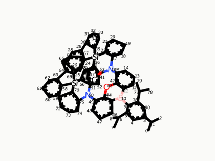 CC(C)c1cc(C(C)C)c(B2c3cccc(N4c5ccccc5[Si]5(c6ccccc6-c6ccccc65)c5ccccc54)c3Oc3c2cccc3N2c3ccccc3[Si]3(c4ccccc4-c4ccccc43)c3ccccc32)c(C(C)C)c1